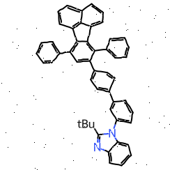 CC(C)(C)c1nc2ccccc2n1-c1cccc(-c2ccc(-c3cc(-c4ccccc4)c4c(c3-c3ccccc3)-c3cccc5cccc-4c35)cc2)c1